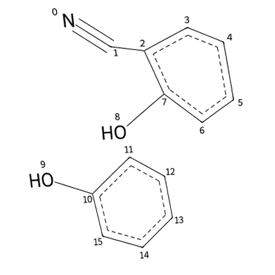 N#Cc1ccccc1O.Oc1ccccc1